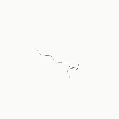 CC(C)C=C([SiH2]OCCC(C)C)C(C)C